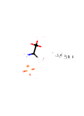 CCC(N)C(O)(O)O.O.O=P(O)(O)O.[AlH3].[MgH2].[NaH]